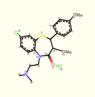 COc1ccc(C2Sc3cc(Cl)ccc3N(CCN(C)C)C(=O)C2OC)cc1.Cl